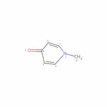 Cn1c[c]c(=O)cc1